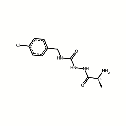 C[C@H](N)C(=O)NNC(=O)NCc1ccc(Cl)cc1